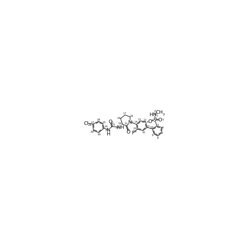 CNS(=O)(=O)c1ccccc1-c1ccc(N2CCC[C@@H](NC(=O)Nc3ccc(Cl)cc3)C2=O)c(F)c1